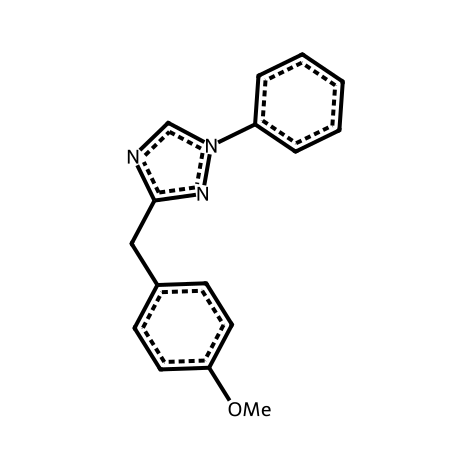 COc1ccc(Cc2ncn(-c3ccccc3)n2)cc1